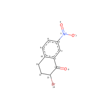 O=C1c2cc([N+](=O)[O-])ccc2CCC1Br